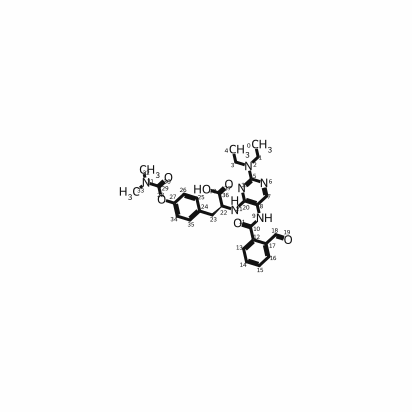 CCN(CC)c1ncc(NC(=O)c2ccccc2C=O)c(N[C@@H](Cc2ccc(OC(=O)N(C)C)cc2)C(=O)O)n1